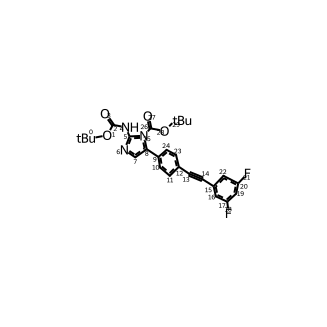 CC(C)(C)OC(=O)Nc1ncc(-c2ccc(C#Cc3cc(F)cc(F)c3)cc2)n1C(=O)OC(C)(C)C